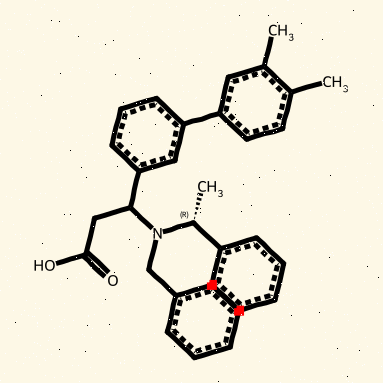 Cc1ccc(-c2cccc(C(CC(=O)O)N(Cc3ccccc3)[C@H](C)c3ccccc3)c2)cc1C